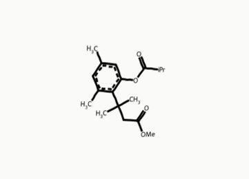 COC(=O)CC(C)(C)c1c(C)cc(C)cc1OC(=O)C(C)C